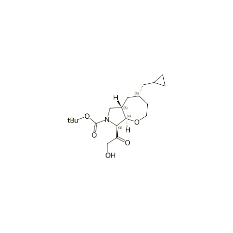 CC(C)(C)OC(=O)N1C[C@@H]2C[C@H](CC3CC3)CCO[C@H]2[C@H]1C(=O)CO